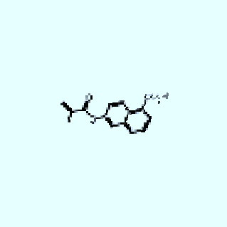 C=C(C)C(=O)Oc1ccc2c(C(=O)O)cccc2c1